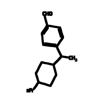 CCCC1CCC(C(C)c2ccc(C=O)cc2)CC1